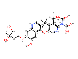 COc1cc2c(Oc3cnc(N(C(=O)O)C(=O)O)c(C(C)(C)C)c3C(C)(C)C)ccnc2cc1OCC[C@](C)(O)CO